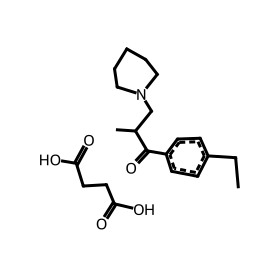 CCc1ccc(C(=O)C(C)CN2CCCCC2)cc1.O=C(O)CCC(=O)O